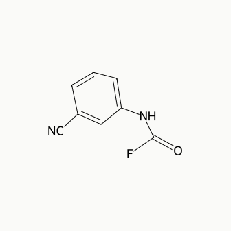 N#Cc1cccc(NC(=O)F)c1